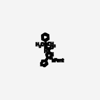 CCCCCN1N=C(C(=O)NC(C)(C)c2ccccc2)CC1c1ccsc1